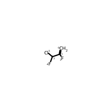 C=C(F)[C](F)Cl